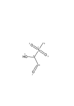 CS(=O)(=O)C(O)[C]=O